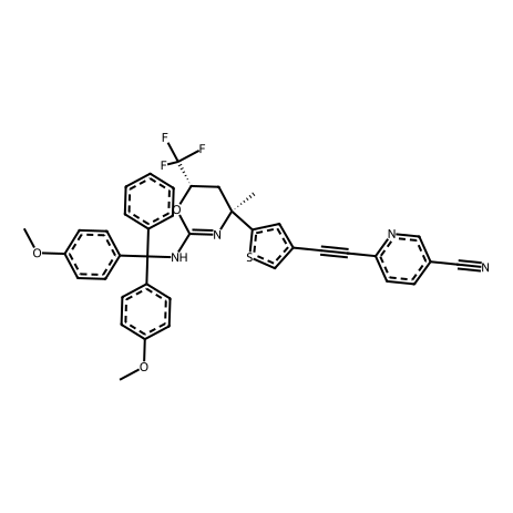 COc1ccc(C(NC2=N[C@](C)(c3cc(C#Cc4ccc(C#N)cn4)cs3)C[C@@H](C(F)(F)F)O2)(c2ccccc2)c2ccc(OC)cc2)cc1